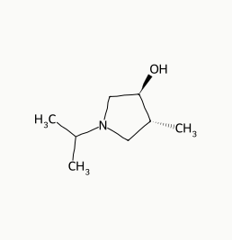 CC(C)N1C[C@@H](C)[C@H](O)C1